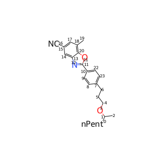 CCCCCC(C)OCCCc1ccc(-c2nc3cc(C#N)cc(C)c3o2)cc1